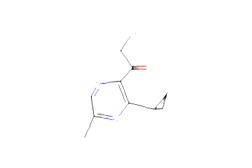 Cc1cnc(C(=O)CBr)c(C2CC2)n1